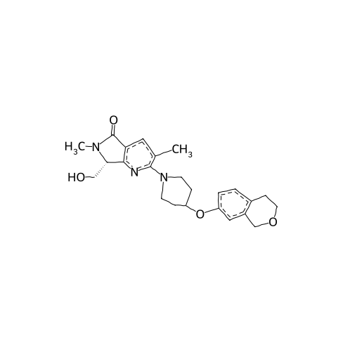 Cc1cc2c(nc1N1CCC(Oc3ccc4c(c3)COCC4)CC1)[C@H](CO)N(C)C2=O